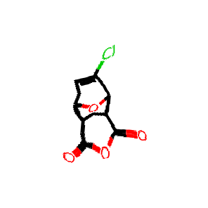 O=C1OC(=O)C2C3OC(C=C3Cl)C12